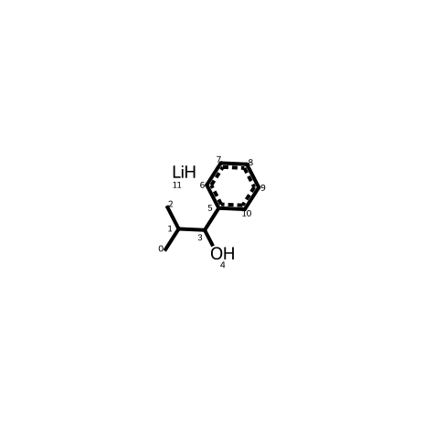 CC(C)C(O)c1ccccc1.[LiH]